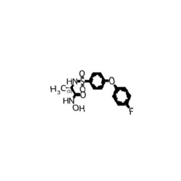 C[C@H](NS(=O)(=O)c1ccc(Oc2ccc(F)cc2)cc1)C(=O)NO